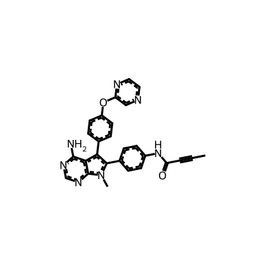 CC#CC(=O)Nc1ccc(-c2c(-c3ccc(Oc4cnccn4)cc3)c3c(N)ncnc3n2C)cc1